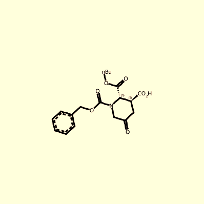 CCCCOC(=O)[C@@H]1[C@@H](C(=O)O)CC(=O)CN1C(=O)OCc1ccccc1